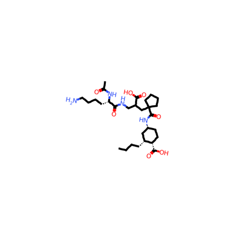 CCCC[C@@H]1C[C@H](NC(=O)C2(CC(CNC(=O)[C@H](CCCCN)NC(C)=O)C(=O)O)CCCC2)CC[C@@H]1C(=O)O